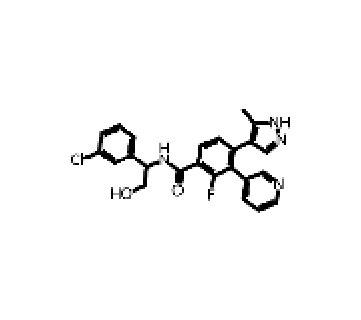 Cc1[nH]ncc1-c1ccc(C(=O)NC(CO)c2cccc(Cl)c2)c(F)c1-c1cccnc1